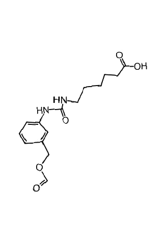 O=COCc1cccc(NC(=O)NCCCCCC(=O)O)c1